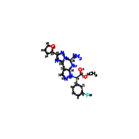 COC(=O)C(c1cccc(F)c1)n1ncc2c1nc(N)n1nc(-c3ccco3)nc21